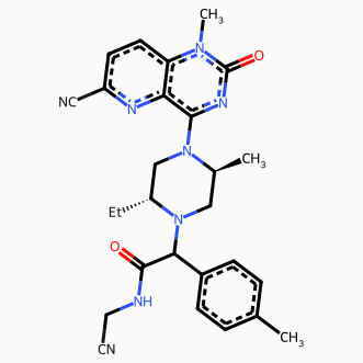 CC[C@@H]1CN(c2nc(=O)n(C)c3ccc(C#N)nc23)[C@@H](C)CN1C(C(=O)NCC#N)c1ccc(C)cc1